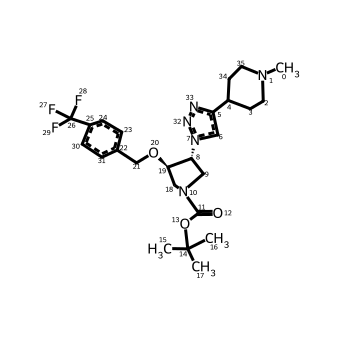 CN1CCC(c2cn([C@@H]3CN(C(=O)OC(C)(C)C)C[C@H]3OCc3ccc(C(F)(F)F)cc3)nn2)CC1